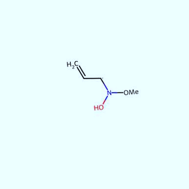 C=C[CH]N(O)OC